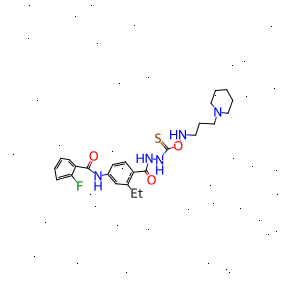 CCc1cc(NC(=O)c2ccccc2F)ccc1C(=O)NNC(=S)ONCCCN1CCCCC1